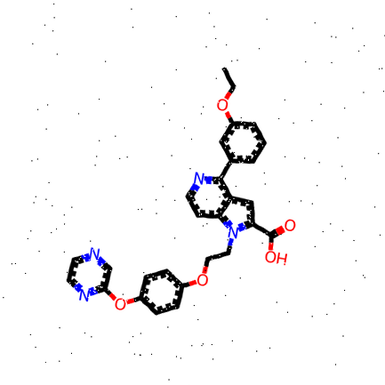 CCOc1cccc(-c2nccc3c2cc(C(=O)O)n3CCOc2ccc(Oc3cnccn3)cc2)c1